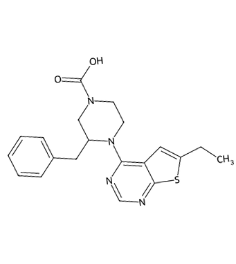 CCc1cc2c(N3CCN(C(=O)O)CC3Cc3ccccc3)ncnc2s1